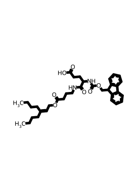 CCCCC(=CCOC(=O)CCCNC(=O)C(CCC(=O)O)NC(=O)OCC1c2ccccc2-c2ccccc21)CCCC